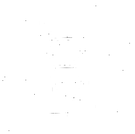 Cc1cnc(NC(C)(C)CC(C)(C)C)c(C)c1